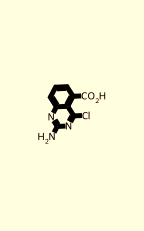 Nc1nc(Cl)c2c(C(=O)O)cccc2n1